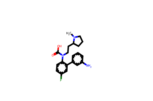 CN1CCCC1CCN(C(=O)O)c1ccc(F)cc1-c1cccc(N)c1